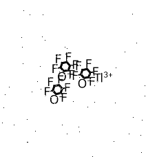 [O-]c1c(F)c(F)c(F)c(F)c1F.[O-]c1c(F)c(F)c(F)c(F)c1F.[O-]c1c(F)c(F)c(F)c(F)c1F.[Tl+3]